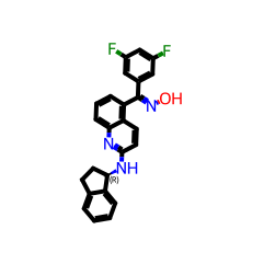 ON=C(c1cc(F)cc(F)c1)c1cccc2nc(N[C@@H]3CCc4ccccc43)ccc12